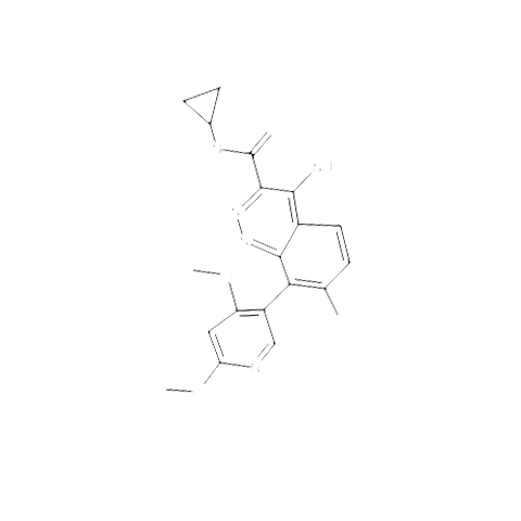 COc1cc(OC)c(-c2c(F)ccc3c(N)c(C(=O)NC4CC4)nnc23)cn1